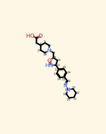 O=C(O)CC1CCN(CC2CC(c3ccc(C=NN4CCCCC4)cc3)NO2)CC1